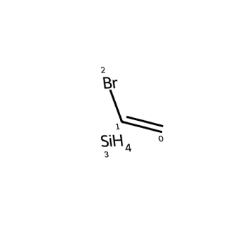 C=CBr.[SiH4]